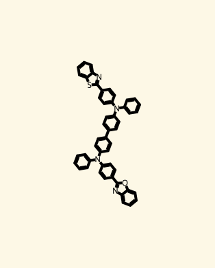 c1ccc(N(c2ccc(-c3ccc(N(c4ccccc4)c4ccc(-c5nc6ccccc6s5)cc4)cc3)cc2)c2ccc(-c3nc4ccccc4o3)cc2)cc1